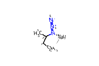 CCC(C)N=[N+]=[N-].[NaH]